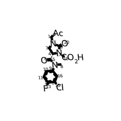 CC(=O)CN1C[C@@H](C(=O)N(C)c2ccc(F)c(Cl)c2)N(C(=O)O)C1=O